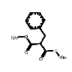 CC(C)(C)OC(=O)C(Cc1ccccc1)C(=O)OC(C)(C)C